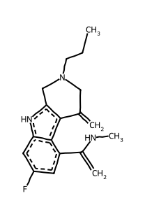 C=C(NC)c1cc(F)cc2[nH]c3c(c12)C(=C)CN(CCC)C3